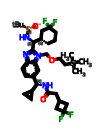 CC(C)(C)[S@@+]([O-])N[C@H](c1nc2ccc([C@H](NC(=O)CC3CC(F)(F)C3)C3CC3)cc2n1COCC[Si](C)(C)C)[C@H]1CCCC(F)(F)C1